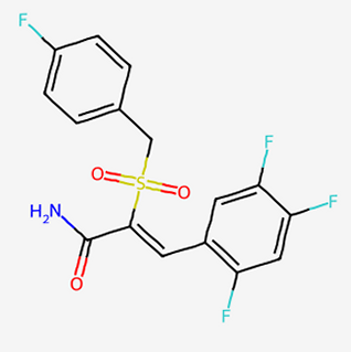 NC(=O)C(=Cc1cc(F)c(F)cc1F)S(=O)(=O)Cc1ccc(F)cc1